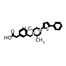 C[C@@H]1CN(c2ccc(-c3ccccc3)s2)C[C@H](C)N1Cc1cccc(CC(=O)O)c1